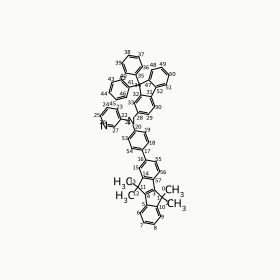 CC1(C)C2=C(c3ccccc31)C(C)(C)c1cc(-c3ccc(N(c4cccnc4)c4ccc5c(c4)C(c4ccccc4)(c4ccccc4)c4ccccc4-5)cc3)ccc12